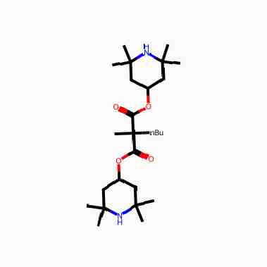 CCCCC(C)(C(=O)OC1CC(C)(C)NC(C)(C)C1)C(=O)OC1CC(C)(C)NC(C)(C)C1